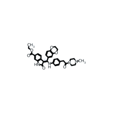 CCOC(=O)c1ccc2c(c1)NC(=O)/C2=C(\Nc1ccc(CC(=O)N2CCN(C)CC2)cc1)c1ccc2c(c1)OCCO2